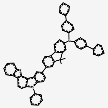 CC1(C)c2cc(-c3ccc4c(c3)c3c5sc6ccccc6c5ccc3n4-c3ccccc3)ccc2-c2ccc(N(c3ccc(-c4ccccc4)cc3)c3ccc(-c4ccccc4)cc3)cc21